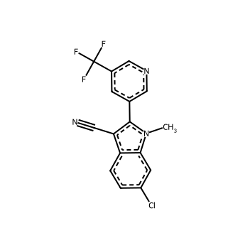 Cn1c(-c2cncc(C(F)(F)F)c2)c(C#N)c2ccc(Cl)cc21